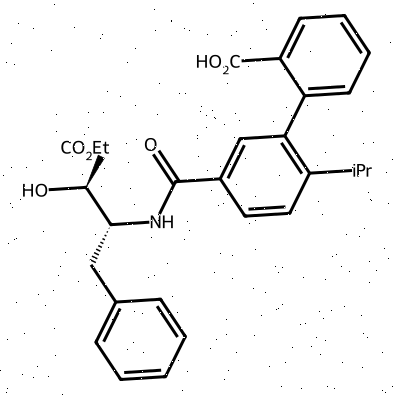 CCOC(=O)[C@H](O)[C@@H](Cc1ccccc1)NC(=O)c1ccc(C(C)C)c(-c2ccccc2C(=O)O)c1